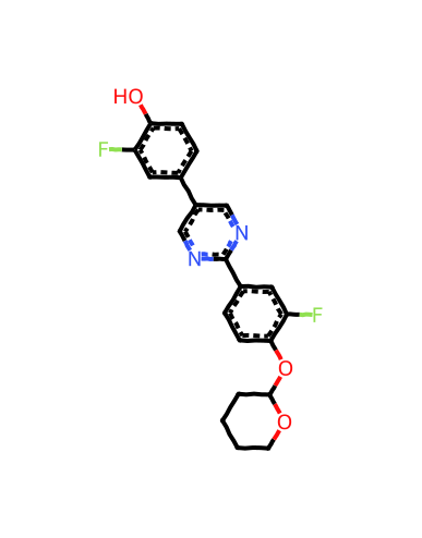 Oc1ccc(-c2cnc(-c3ccc(OC4CCCCO4)c(F)c3)nc2)cc1F